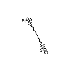 CCOC(=S)SSCCCCCCCCCCSSC(=S)OCC